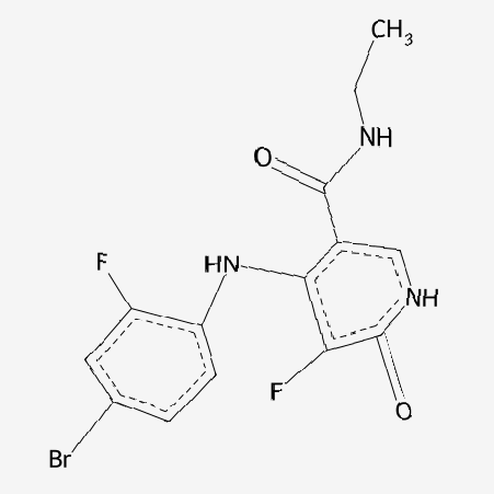 CCNC(=O)c1c[nH]c(=O)c(F)c1Nc1ccc(Br)cc1F